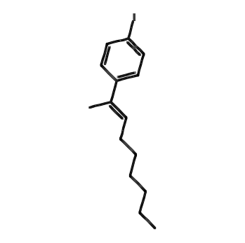 CCCCCCC=C(C)c1ccc(I)cc1